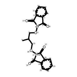 CC(CON1C(=O)c2ccccc2C1=O)CON1C(=O)c2ccccc2C1=O